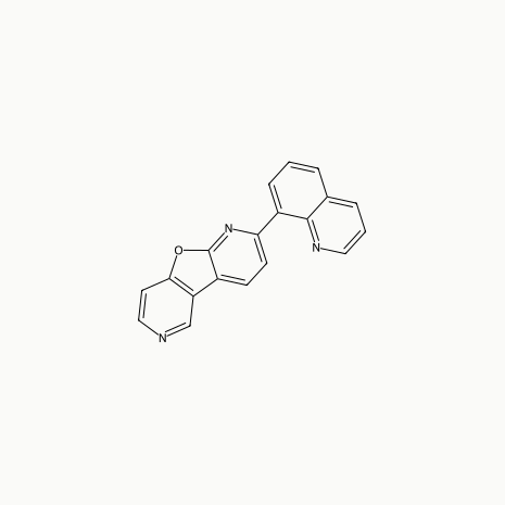 c1cnc2c(-c3ccc4c(n3)oc3ccncc34)cccc2c1